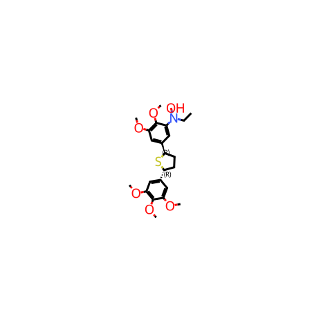 CCN(O)c1cc([C@H]2CC[C@H](c3cc(OC)c(OC)c(OC)c3)S2)cc(OC)c1OC